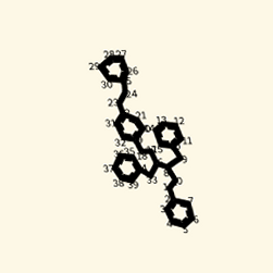 [CH](Cc1ccccc1)C(Cc1ccccc1)C(CCc1ccc(CCc2ccccc2)cc1)Cc1ccccc1